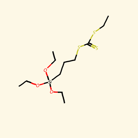 CCO[Si](CCCSC(=S)SCC)(OCC)OCC